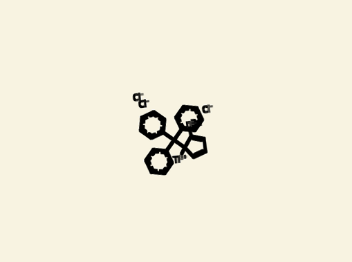 CCCCC1=CC=C[C]1([Ti+3])C(c1ccccc1)(c1ccccc1)c1ccccc1.[Cl-].[Cl-].[Cl-]